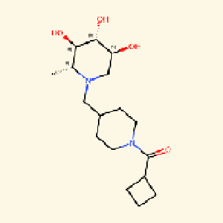 C[C@@H]1[C@@H](O)[C@H](O)[C@@H](O)CN1CC1CCN(C(=O)C2CCC2)CC1